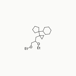 CCOCC(CC1(C2(C3CCCCC3)CCCC2)CC1)OCC